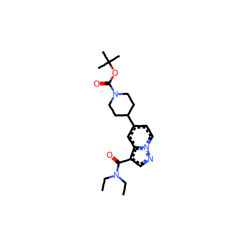 CCN(CC)C(=O)c1cnn2ccc(C3CCN(C(=O)OC(C)(C)C)CC3)cc12